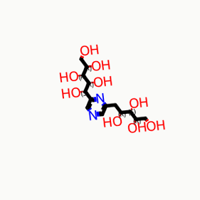 OC[C@@H](O)[C@@H](O)[C@H](O)Cc1cncc([C@H](O)[C@@H](O)[C@H](O)[C@H](O)CO)n1